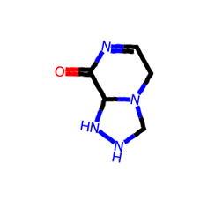 O=C1N=CCN2CNNC12